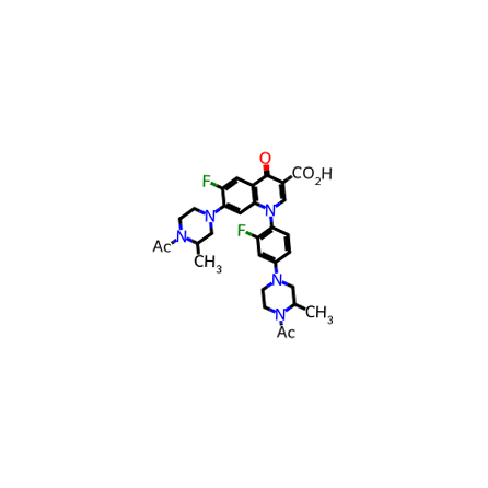 CC(=O)N1CCN(c2ccc(-n3cc(C(=O)O)c(=O)c4cc(F)c(N5CCN(C(C)=O)C(C)C5)cc43)c(F)c2)CC1C